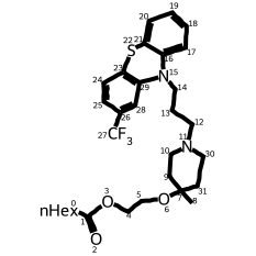 CCCCCCC(=O)OCCOC1(C)CCN(CCCN2c3ccccc3Sc3ccc(C(F)(F)F)cc32)CC1